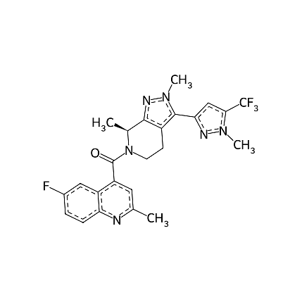 Cc1cc(C(=O)N2CCc3c(nn(C)c3-c3cc(C(F)(F)F)n(C)n3)[C@@H]2C)c2cc(F)ccc2n1